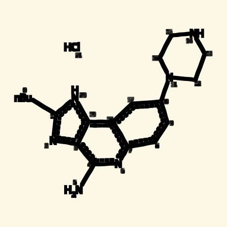 CCCCc1nc2c(N)nc3ccc(N4CCNCC4)cc3c2[nH]1.Cl